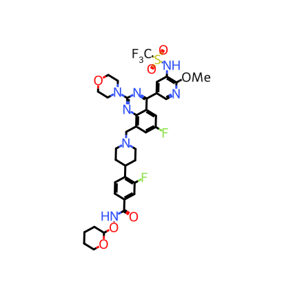 COc1ncc(-c2nc(N3CCOCC3)nc3c(CN4CCC(c5ccc(C(=O)NOC6CCCCO6)cc5F)CC4)cc(F)cc23)cc1NS(=O)(=O)C(F)(F)F